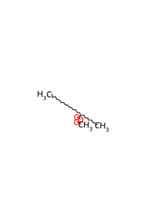 CCCCCCCCCCCCCCCCC(CCCCCCCC)C(=O)OC(C)=O